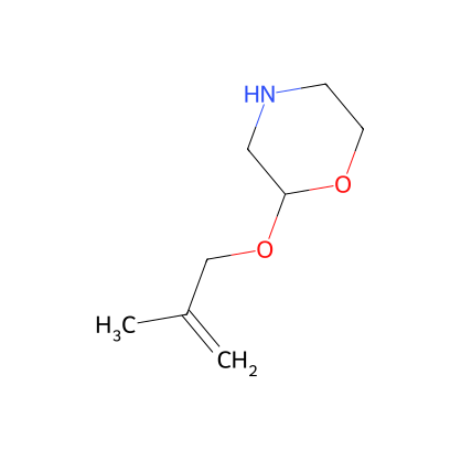 C=C(C)COC1CNCCO1